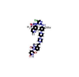 CCc1ccc2c(P(C)(C)=O)c(Nc3nc(Nc4cc(CC)c(N5CCC(N6CCN(CCc7cccc8c7n(C)c(=O)n8C7CCC(=O)NC7=O)CC6)CC5)cc4OC)ncc3Br)ccc2n1